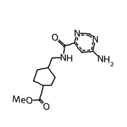 COC(=O)C1CCC(CNC(=O)c2cc(N)ncn2)CC1